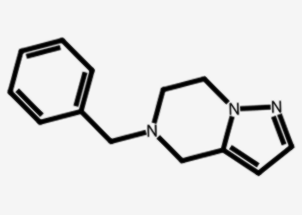 c1ccc(CN2CCn3nccc3C2)cc1